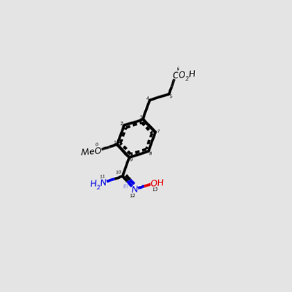 COc1cc(CCC(=O)O)ccc1/C(N)=N\O